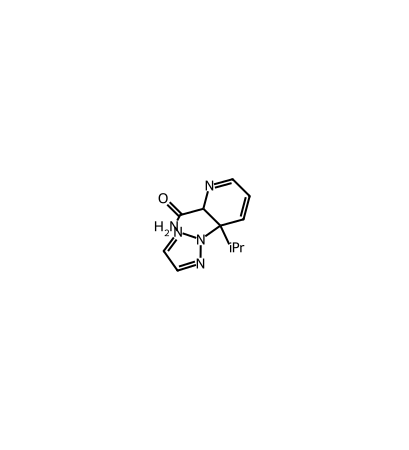 CC(C)C1(n2nccn2)C=CC=NC1C(N)=O